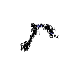 CC(=O)OC(C)/C=C\C(=O)N[C@@H]1C[C@H](C)[C@H](C/C=C(C)/C=C/[C@@H]2C[C@]3(CO3)C[C@@H](CC(=O)NCCOCCOCCC(=O)Oc3c(F)c(F)c(F)c(F)c3F)O2)O[C@@H]1C